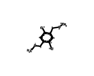 COCc1cc(Cl)c(COC)cc1Cl